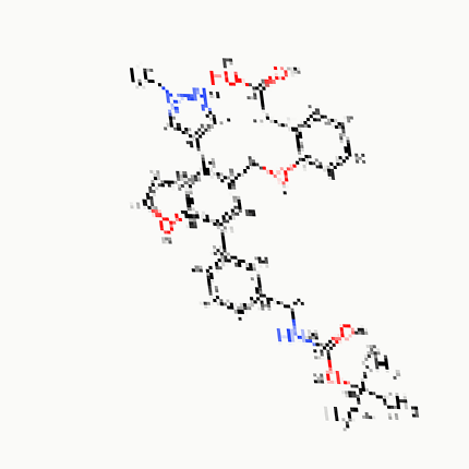 Cn1cc(-c2c(COc3ccccc3CC(=O)O)cc(-c3cccc(CNC(=O)OC(C)(C)C)c3)c3occc23)cn1